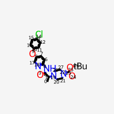 CC(C(=O)Nc1ccc(Oc2ccc(Cl)cc2)cn1)N1CCN(C(=O)OC(C)(C)C)CC1